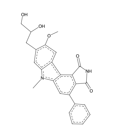 COc1cc2c3c4c(c(-c5ccccc5)cc3n(C)c2cc1CC(O)CO)C(=O)NC4=O